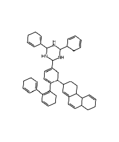 C1=CCC(C2NC(C3=CCCC=C3)NC(C3=CC=C(C4=C(C5=CCCC=C5)C=CCC4)C(C4C=C5C=CC6CCC=CC6C5CC4)C3)N2)C=C1